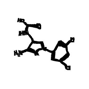 Nc1nn(-c2cc(Cl)cc(Cl)c2)cc1NC(=O)O